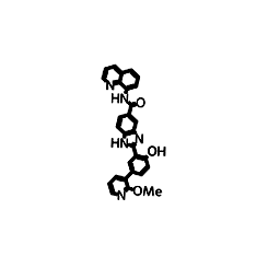 COc1ncccc1-c1ccc(O)c(-c2nc3cc(C(=O)Nc4cccc5cccnc45)ccc3[nH]2)c1